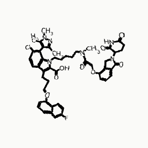 Cc1nn(C)c(C)c1-c1c(Cl)ccc2c(CCCOc3cccc4cc(F)ccc34)c(C(=O)O)n(CCCCCN(C)C(=O)COc3cccc4c3CN(C3CCC(=O)NC3=O)C4=O)c12